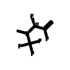 C=C(F)[C@H](F)N(C)C(F)(F)F